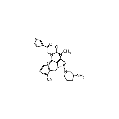 Cn1c(=O)n(CC(=O)c2ccsc2)c(=O)c2c1nc(N1CCCC(N)C1)n2Cc1ccccc1C#N